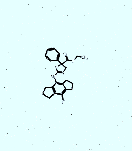 CCOC(=O)C1(c2ccccc2)CN=C(Nc2c3c(c(F)c4c2CCC4)CCC3)O1